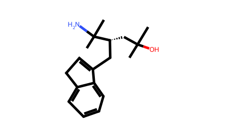 CC(C)(O)C[C@H](CC1=CCc2ccccc21)C(C)(C)N